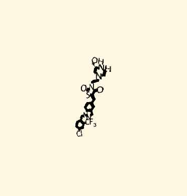 O=C1S/C(=C\c2ccc3c(cnn3Cc3ccc(Cl)cc3C(F)(F)F)c2)C(=O)N1CCN1CCN[C@@H](CO)C1